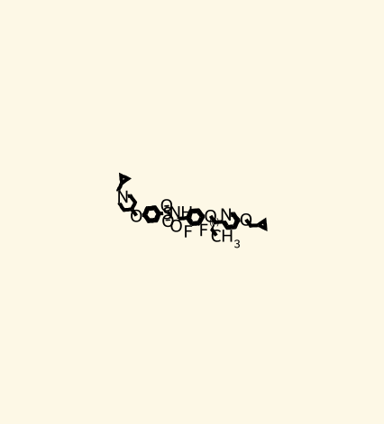 CC[C@@H](Oc1ccc(C(=O)NS(=O)(=O)c2ccc(OC3CCN(CC4CC4)CC3)cc2)c(F)c1F)c1ccc(OCC2CC2)cn1